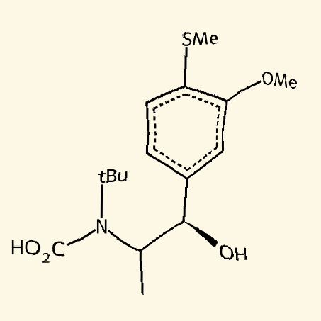 COc1cc([C@@H](O)C(C)N(C(=O)O)C(C)(C)C)ccc1SC